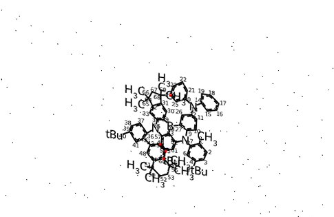 Cc1ccc(C(C)(C)C)cc1N1c2ccc(N(c3ccccc3)c3ccccc3)cc2B2c3cc4c(cc3N(c3ccc(C(C)(C)C)cc3-c3ccc5c(c3)C(C)(C)CCC5(C)C)c3cc(C(C)(C)C)cc1c32)C(C)(C)CC4(C)C